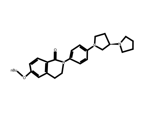 CCCCOc1ccc2c(c1)CCN(c1ccc(N3CC[C@@H](N4CCCC4)C3)cc1)C2=O